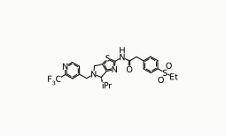 CCS(=O)(=O)c1ccc(CC(=O)Nc2nc3c(s2)CN(Cc2ccnc(C(F)(F)F)c2)[C@@H]3C(C)C)cc1